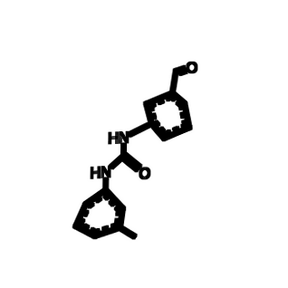 Cc1cccc(NC(=O)Nc2cccc(C=O)c2)c1